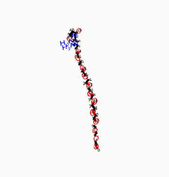 COCCOCCOCCOCCOCCOCCOCCOCCOCCOCCOCCOCCN(N)/C=C(\N)CN1C(=O)C=CC1=O